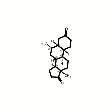 C[C@H]1C[C@@H]2[C@H](CC[C@]3(C)C(=O)CC[C@@H]23)[C@H]2CCC(=O)C[C@H]21